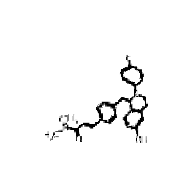 CN(C)C(=O)C=Cc1ccc(CC2c3ccc(O)cc3CCN2c2ccc(F)cc2)cc1